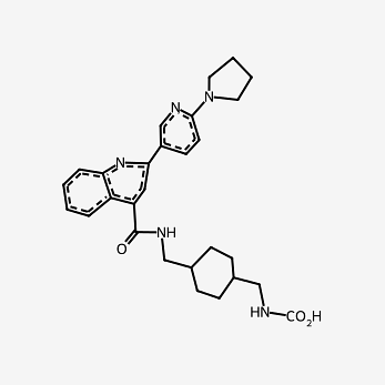 O=C(O)NCC1CCC(CNC(=O)c2cc(-c3ccc(N4CCCC4)nc3)nc3ccccc23)CC1